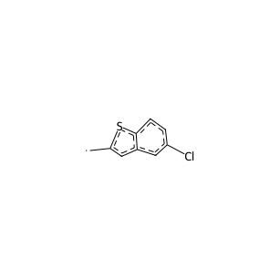 [CH2]c1cc2cc(Cl)ccc2s1